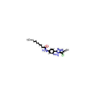 CCCCCCCCCCCCCCCCCC(=O)Nc1ccc(-c2nn3nc(C(C)(C)C)c(Cl)c3[nH]2)c(N)c1